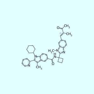 CC(=O)/C(C)=C/c1ccc2nc(C3(NC(=O)c4ccc5c(c4)c(C)c(-c4ccccn4)n5C4CCCCC4)CCC3)n(C)c2c1